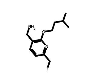 CC(C)CCOc1nc(CI)ccc1CN